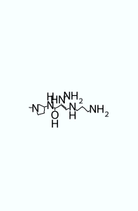 CN1CCC(NC(O)/C(=C/NCCCN)NN)C1